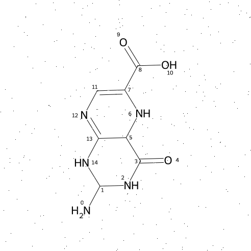 NC1NC(=O)C2NC(C(=O)O)=CN=C2N1